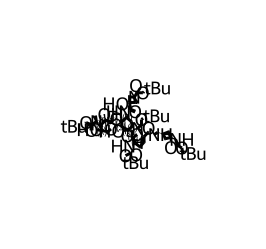 CN(C(=O)OC(C)(C)C)[C@@H]1[C@@H](O)[C@@H](O[C@@H]2[C@@H](O)[C@H](O[C@H]3OC(CNC[C@H]4C[C@H](NC(=O)OC(C)(C)C)C4)=CC[C@H]3NC(=O)OC(C)(C)C)[C@@H](NC(=O)OC(C)(C)C)C[C@H]2NC(=O)C2(O)CN(C(=O)OC(C)(C)C)C2)OC[C@]1(C)O